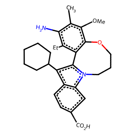 CCc1c(N)c(C)c(OC)c2c1-c1c(C3CCCCC3)c3ccc(C(=O)O)cc3n1CCCO2